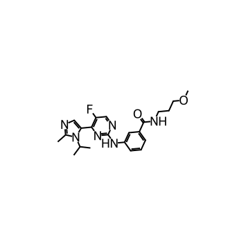 COCCCNC(=O)c1cccc(Nc2ncc(F)c(-c3cnc(C)n3C(C)C)n2)c1